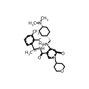 Cc1c([C@@H](C)NC(=O)c2cn(C3CCOCC3)c(=O)cc2NC[C@H]2CC[C@@H](N(C)C)CC2)cccc1C(F)(F)F